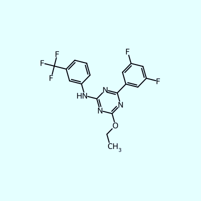 CCOc1nc(Nc2cccc(C(F)(F)F)c2)nc(-c2cc(F)cc(F)c2)n1